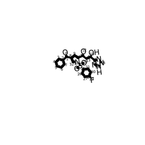 O=C(c1ccccc1)c1cc(C(=O)C=C(O)c2nn[nH]n2)n(S(=O)(=O)c2ccc(F)cc2)c1